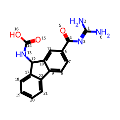 NC(N)=NC(=O)c1ccc2c(c1)C(NC(=O)O)c1ccccc1-2